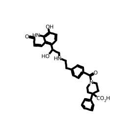 O=C(c1ccc(CCNCC(O)c2ccc(O)c3[nH]c(=O)ccc23)cc1)N1CCC(C(=O)O)(c2ccccc2)CC1